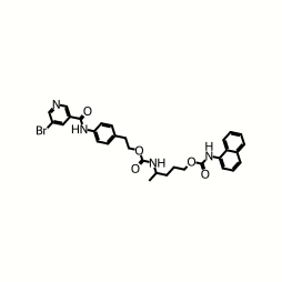 CC(CCCOC(=O)Nc1cccc2ccccc12)NC(=O)OCCc1ccc(NC(=O)c2cncc(Br)c2)cc1